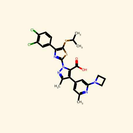 Cc1cc(-c2c(C)nn(-c3nc(-c4ccc(Cl)c(Cl)c4)c(SC(C)C)s3)c2C(=O)O)cc(N2CCC2)n1